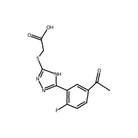 CC(=O)c1ccc(F)c(-c2nnc(SCC(=O)O)[nH]2)c1